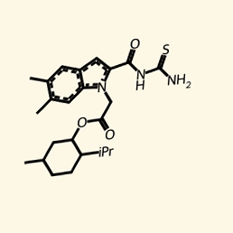 Cc1cc2cc(C(=O)NC(N)=S)n(CC(=O)OC3CC(C)CCC3C(C)C)c2cc1C